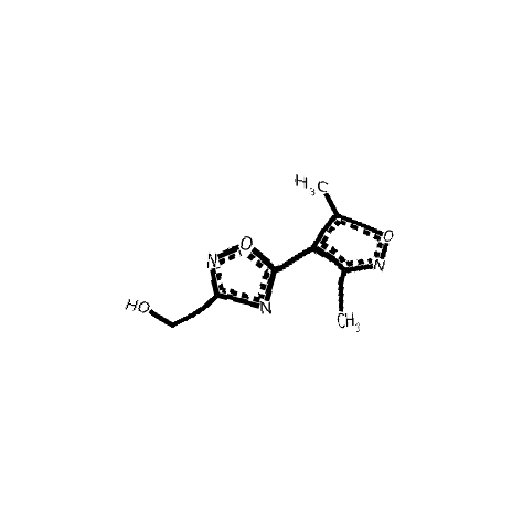 Cc1noc(C)c1-c1nc(CO)no1